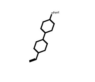 C=CC1CCC(C2CCC(CCCCC)CC2)CC1